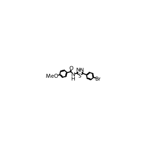 COc1ccc(C(=O)Nc2nnc(-c3ccc(Br)cc3)s2)cc1